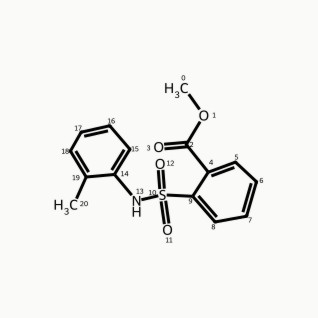 COC(=O)c1ccccc1S(=O)(=O)Nc1ccccc1C